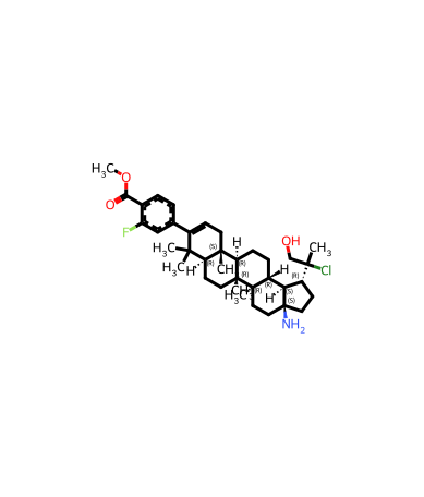 COC(=O)c1ccc(C2=CC[C@]3(C)[C@H]4CC[C@@H]5[C@H]6[C@H](C(C)(Cl)CO)CC[C@]6(N)CC[C@@]5(C)[C@]4(C)CC[C@H]3C2(C)C)cc1F